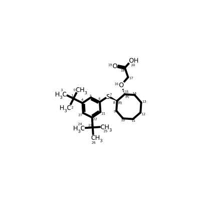 CC(C)(C)c1cc(S[C@@H]2CCCCCC[C@H]2OCC(=O)O)cc(C(C)(C)C)c1